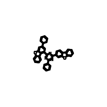 C1=CCC(c2cc(-c3nc(-c4ccccc4)nc(-c4ccc5c(c4)oc4ccccc45)n3)c3c(c2)oc2ccccc23)C=C1